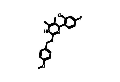 COc1ccc(CSC2=NC(c3ccc(F)cc3Cl)C(C)=C(C)N2)cc1